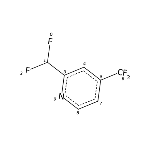 FC(F)c1cc(C(F)(F)F)ccn1